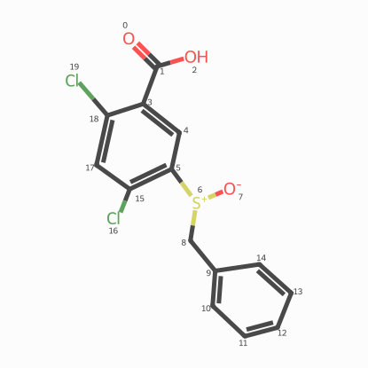 O=C(O)c1cc([S+]([O-])Cc2ccccc2)c(Cl)cc1Cl